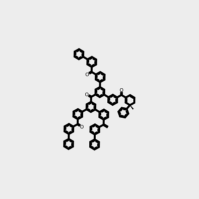 C=C(c1cccc(-c2ccccc2)c1)c1cccc(-c2cc(C(=O)c3cc(-c4cccc(C(=O)C5=C[C@@](C)(c6ccccc6)CC=C5)c4)cc(-c4cccc(C(=O)c5cccc(-c6ccccc6)c5)c4)c3)cc(-c3cccc(C(=O)c4cccc(-c5ccccc5)c4)c3)c2)c1